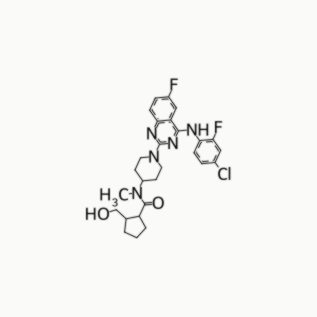 CN(C(=O)C1CCCC1CO)C1CCN(c2nc(Nc3ccc(Cl)cc3F)c3cc(F)ccc3n2)CC1